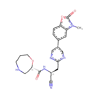 Cn1c(=O)oc2ccc(-c3cnc(C[C@@H](C#N)NC(=O)[C@@H]4CNCCCO4)nc3)cc21